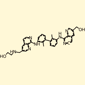 Cc1c(Nc2nccc3cc(CO)cnc23)cccc1-c1cccc(Nc2nccc3cc(CNCCO)cnc23)c1C